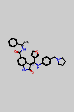 C[C@@H](NC(=O)c1ccc2c(c1)/C(=C(/Nc1ccc(CN3CCCC3)cc1)c1ccoc1)C(=O)N2)c1ccccc1